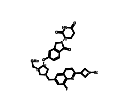 COC[C@@H]1CN(Cc2cc(F)c3nc(C4CN(C(C)=O)C4)ccc3c2)C[C@H]1Oc1ccc2c(c1)CN([C@H]1CCC(=O)NC1=O)C2=O